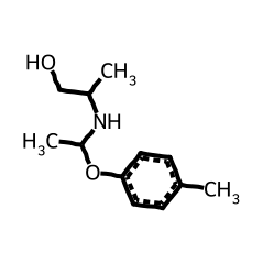 Cc1ccc(OC(C)NC(C)CO)cc1